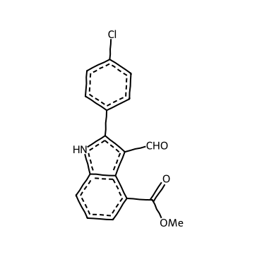 COC(=O)c1cccc2[nH]c(-c3ccc(Cl)cc3)c(C=O)c12